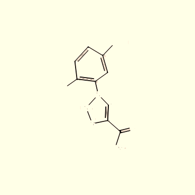 COC(=O)C1=CN(c2cc(C(=O)O)ccc2C)NN1